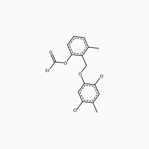 CCC(=O)Oc1cccc(C)c1COc1cc(Cl)c(C)cc1Cl